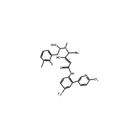 CN(C(/C(C#N)=C/C(=O)Nc1ccc(C(F)(F)F)cc1-c1ccc(C(F)(F)F)nc1)C(C)(C)C)N(C=O)Cc1cccc(F)c1F